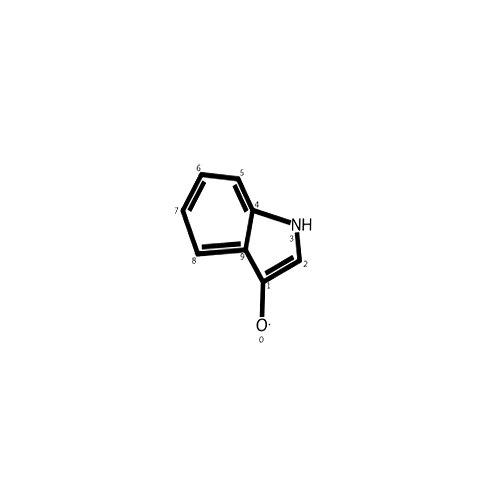 [O]c1c[nH]c2ccccc12